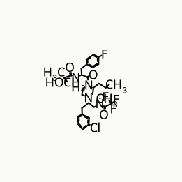 CCCC1CN(C(Cc2cccc(Cl)c2)CN(C)C(=O)C(F)(F)F)CCN1C(=O)C(Cc1ccc(F)cc1)NC(=O)C(C)(C)O